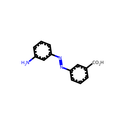 Nc1cccc(N=Nc2cccc(C(=O)O)c2)c1